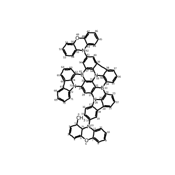 CC1C=CC=C2Oc3ccccc3N(c3ccc4c(c3)c3cccc5c3n4-c3cc4c6c7c3B5c3cccc5c8cc(N9c%10ccccc%10Oc%10ccccc%109)cc(c8n-7c35)B6c3cccc5c6ccccc6n-4c35)C21